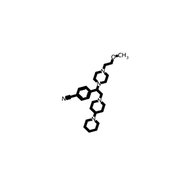 COCCN1CCN(C(CN2CCC(N3CCCCC3)CC2)c2ccc(C#N)cc2)CC1